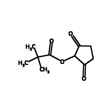 CC(C)(C)C(=O)OC1C(=O)CCC1=O